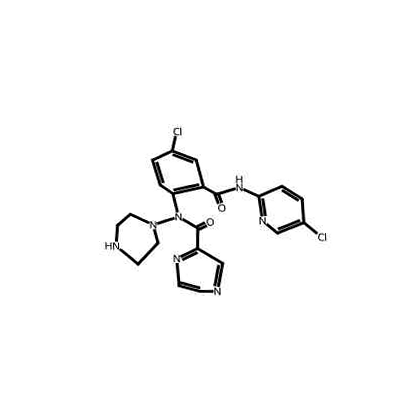 O=C(Nc1ccc(Cl)cn1)c1cc(Cl)ccc1N(C(=O)c1cnccn1)N1CCNCC1